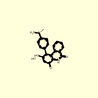 C[C@@H](N)c1ccc(-c2c(O)cc(Cl)c3[nH]c(=O)c4ccccc4c23)cc1.Cl